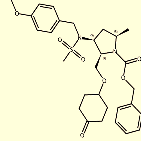 COc1ccc(CN([C@H]2C[C@@H](C)N(C(=O)OCc3ccccc3)[C@H]2COC2CCC(=O)CC2)S(C)(=O)=O)cc1